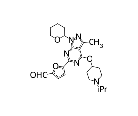 Cc1nn(C2CCCCO2)c2nc(-c3ccc(C=O)o3)nc(OC3CCN(C(C)C)CC3)c12